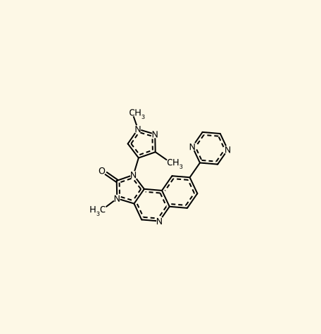 Cc1nn(C)cc1-n1c(=O)n(C)c2cnc3ccc(-c4cnccn4)cc3c21